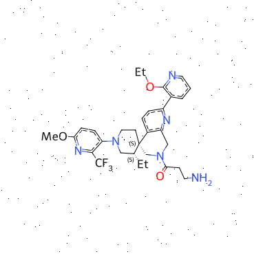 CCOc1ncccc1-c1ccc2c(n1)CN(C(=O)CCN)C[C@]21CCN(c2ccc(OC)nc2C(F)(F)F)C[C@H]1CC